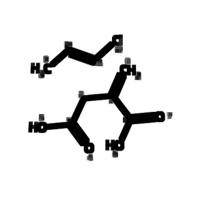 C=C(CC(=O)O)C(=O)O.CC=CCl